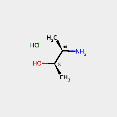 C[C@@H](N)[C@@H](C)O.Cl